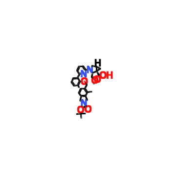 COC[C@H]1N(c2cccc(-c3cccc(C)c3OCc3ccc4c(c3C)CN(C(=O)OC(C)(C)C)C4)n2)C[C@@H]2C[C@@]21C(=O)O